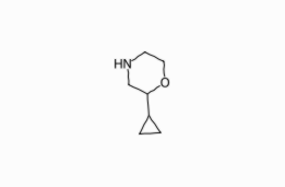 C1COC(C2CC2)CN1